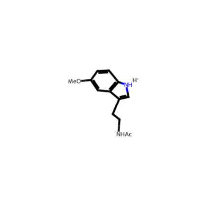 COc1ccc2[nH]cc(CCNC(C)=O)c2c1.[H+]